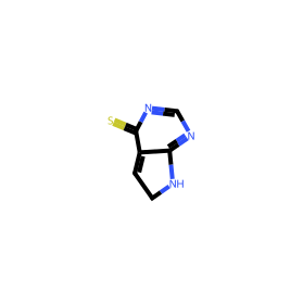 S=C1N=CN=C2NCC=C12